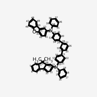 CC1(C)c2ccccc2-c2ccc(N(c3ccccc3)c3ccc(-c4cccc(-c5ccc(N(c6ccccc6)c6ccc7oc8ccccc8c7c6)cc5)c4)cc3)cc21